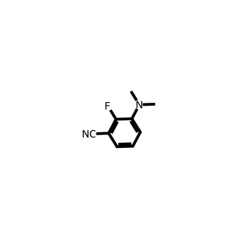 CN(C)c1cccc(C#N)c1F